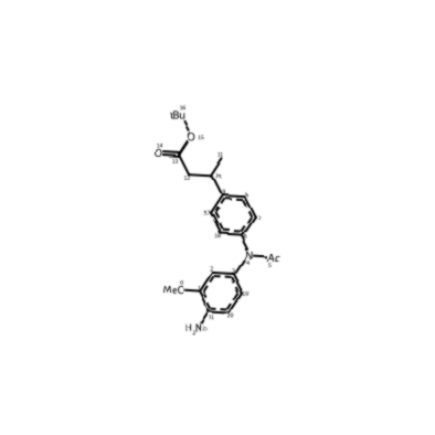 COc1cc(N(C(C)=O)c2ccc(C(C)CC(=O)OC(C)(C)C)cc2)ccc1N